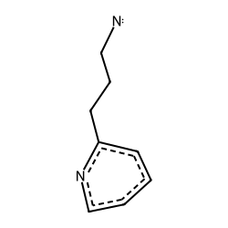 [N]CCCc1ccccn1